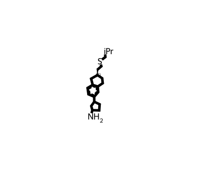 CC(C)CSCC[C@H]1CCc2cc(C3CCC(N)C3)ccc2C1